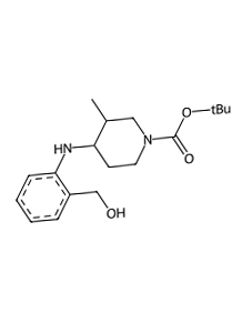 CC1CN(C(=O)OC(C)(C)C)CCC1Nc1ccccc1CO